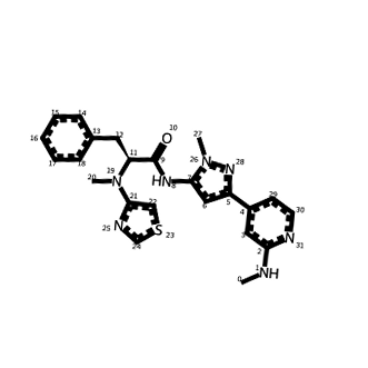 CNc1cc(-c2cc(NC(=O)[C@H](Cc3ccccc3)N(C)c3cscn3)n(C)n2)ccn1